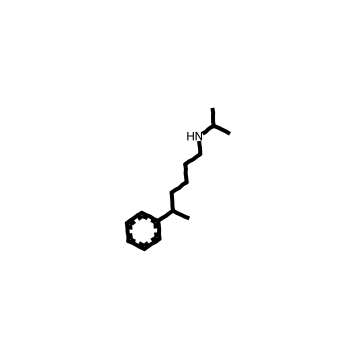 CC(C)NCCCCC(C)c1ccccc1